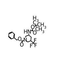 CC(C)(C)OC(=O)N[C@H]1CC(C(F)(F)F)CN(C(=O)OCc2ccccc2)C1